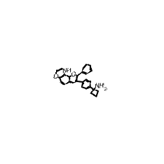 NC1(c2ccc(C3=C(c4ccccc4)OC4C(=C3)C=CC3=C4NC=CO3)cc2)CCC1